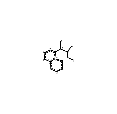 CCC(C)C(C)c1cccc2ccccc12